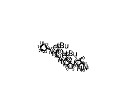 Cc1cn([C@H]2CC[C@@H](CN(CCCN(CCc3ccccc3)C(=O)OC(C)(C)C)C(=O)OC(C)(C)C)C2)c2ncncc12